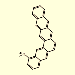 [Sn][c]1cccc2cc3ccc4cc5cc6ccccc6cc5cc4c3cc12